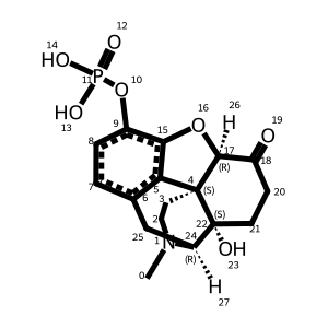 CN1CC[C@]23c4c5ccc(OP(=O)(O)O)c4O[C@H]2C(=O)CC[C@@]3(O)[C@H]1C5